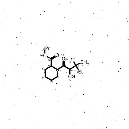 CCC(C)(C)C(O)C(=O)N1CCCCC1C(=O)OC(C)C